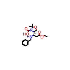 CCOC(=O)CC(NCc1ccccc1)[C@H]1COC(C)(C)N1C(=O)O